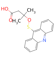 CC(C)(CC(=O)O)OSc1c2ccccc2nc2ccccc12